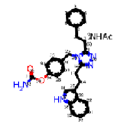 CC(=O)N[C@@H](Cc1ccccc1)c1nnc([CH]Cc2c[nH]c3ccccc23)n1Cc1ccc(OC(N)=O)cc1